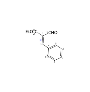 CCOC(=O)/C([C]=O)=C/c1ccccn1